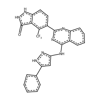 O=c1[nH][nH]c2ccc(-c3nc(Nc4cc(-c5ccccc5)[nH]n4)c4ccccc4n3)c(C(F)(F)F)c12